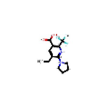 CCc1cc(C(=O)O)c(C(F)(F)F)nc1N1CCCC1